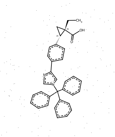 CC[C@]1(C(=O)O)C[C@H]1c1ccc(-c2cn(C(c3ccccc3)(c3ccccc3)c3ccccc3)cn2)cc1